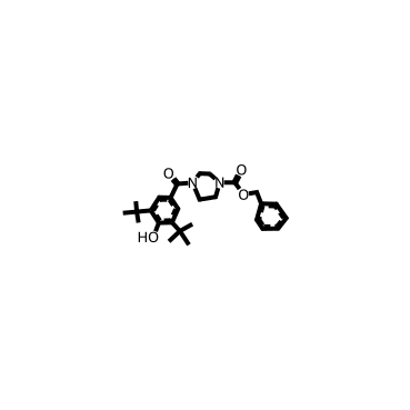 CC(C)(C)c1cc(C(=O)N2CCN(C(=O)OCc3ccccc3)CC2)cc(C(C)(C)C)c1O